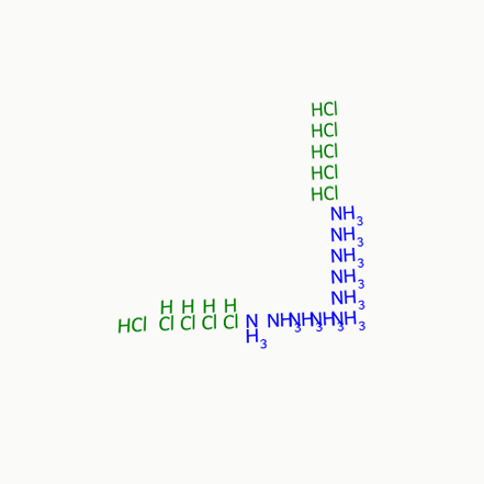 Cl.Cl.Cl.Cl.Cl.Cl.Cl.Cl.Cl.Cl.N.N.N.N.N.N.N.N.N.N